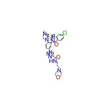 CN1CCN(c2ccc(-n3cc(C(=O)NCCCN4CCOCC4)nn3)cc2NC(=O)c2ccc(Cl)cc2C(F)(F)F)CC1